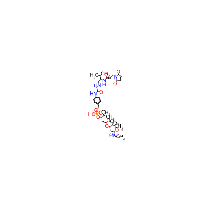 CNC(=O)C[C@H](OC(=O)C[C@H](OP(=O)(O)OCc1ccc(NC(=O)CNCC(NC(=O)CCN2C(=O)C=CC2=O)C(C)C)cc1)C(C)C)C(C)C